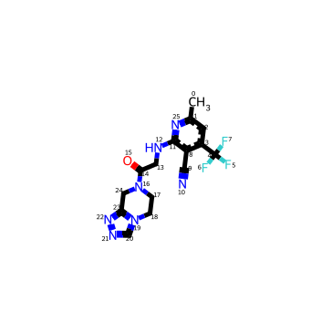 Cc1cc(C(F)(F)F)c(C#N)c(NCC(=O)N2CCn3cnnc3C2)n1